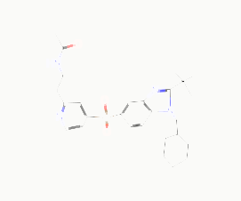 CC(=O)NCCc1cc(S(=O)(=O)c2ccc3c(c2)nc(C(C)(C)C)n3CC2CCCCC2)ccn1